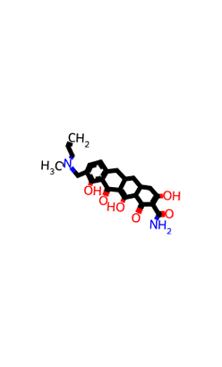 C=CCN(C)Cc1ccc2c(c1O)C(=O)C1=C(O)C3C(=O)C(C(N)=O)=C(O)CC3CC1C2